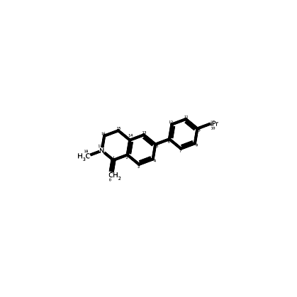 C=C1c2ccc(-c3ccc(C(C)C)cc3)cc2CCN1C